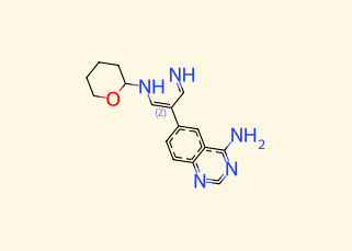 N=C/C(=C\NC1CCCCO1)c1ccc2ncnc(N)c2c1